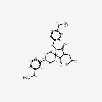 CCC(CC)CN1C(=O)N(Cc2ccc(OC(F)(F)F)cc2)C2(CCN(c3cccc(CC(=O)O)c3)CC2)C1=O